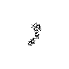 O=c1cnc2ccc(=O)n3c2n1CCC3CN1CCC(NCc2cc3c(cn2)OCCS3)CC1